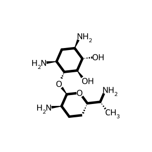 C[C@@H](N)[C@@H]1CC[C@@H](N)[C@@H](O[C@H]2[C@H](O)[C@@H](O)[C@H](N)C[C@@H]2N)O1